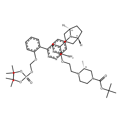 C[C@@H]1CN(C(=O)OC(C)(C)C)CCN1CCOc1cc(N2[C@@H]3CC[C@@H]2CN(c2cc(-c4ccccc4OCOP(=O)(OC(C)(C)C)OC(C)(C)C)nnc2N)C3)ccn1